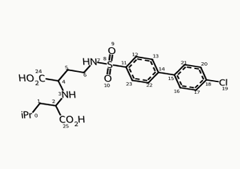 CC(C)CC(NC(CCNS(=O)(=O)c1ccc(-c2ccc(Cl)cc2)cc1)C(=O)O)C(=O)O